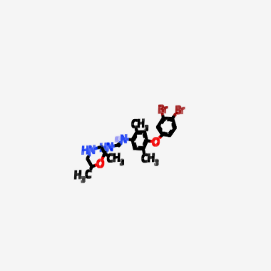 Cc1cc(Oc2ccc(Br)c(Br)c2)c(C)cc1/N=C/NC1(C)CNCC(C)O1